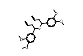 C=CCC(SC(CC=C)c1ccc(OC)c(OC)c1)c1ccc(OC)c(OC)c1